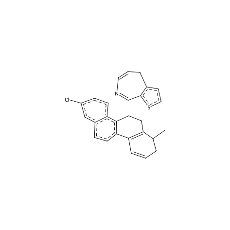 C1=CN=Cc2sccc2C1.CC1CC=CC2=C1CCc1c2ccc2cc(Cl)ccc12